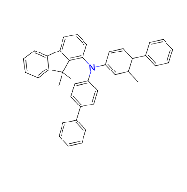 CC1C=C(N(c2ccc(-c3ccccc3)cc2)c2cccc3c2C(C)(C)c2ccccc2-3)C=CC1c1ccccc1